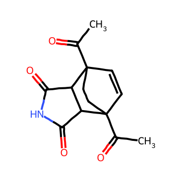 CC(=O)C12C=CC(C(C)=O)(CC1)C1C(=O)NC(=O)C12